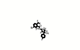 [2H]C([2H])([2H])C(O)(c1ccc(F)cc1)C(F)CNC(=O)c1c(C(F)F)ccc(Br)c1F